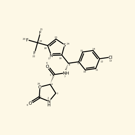 O=C1NC[C@@H](C(=O)N[C@@H](c2ccc(Cl)cc2)c2nc(C(F)(F)F)cs2)O1